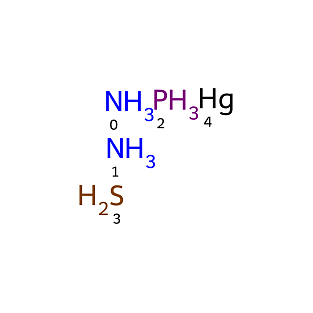 N.N.P.S.[Hg]